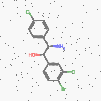 N[C@H](c1ccc(Cl)cc1)[C@H](O)c1ccc(Br)c(Cl)c1